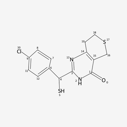 O=c1[nH]c(C(S)c2ccc(Cl)cc2)nc2c1CSCC2